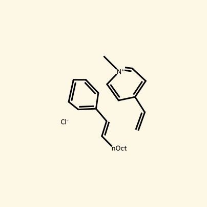 C=Cc1cc[n+](C)cc1.CCCCCCCCC=Cc1ccccc1.[Cl-]